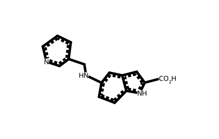 O=C(O)c1cc2cc(NCc3cccnc3)ccc2[nH]1